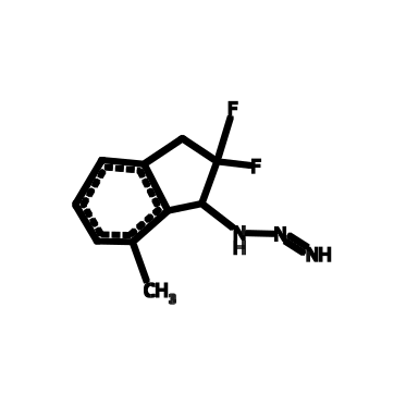 Cc1cccc2c1C(NN=N)C(F)(F)C2